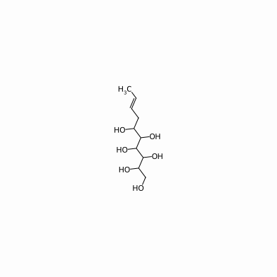 CC=CCC(O)C(O)C(O)C(O)C(O)CO